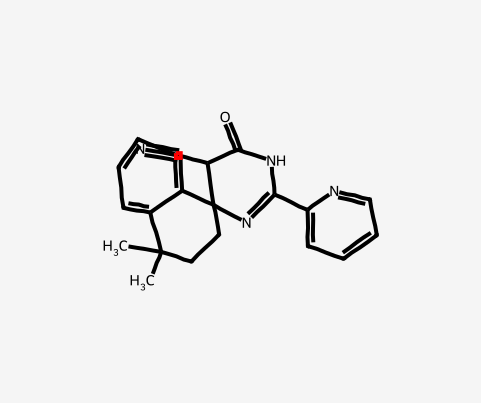 CC1(C)CCC2(N=C(c3ccccn3)NC(=O)C2C#N)c2ccccc21